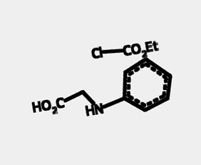 CCOC(=O)Cl.O=C(O)CNc1ccccc1